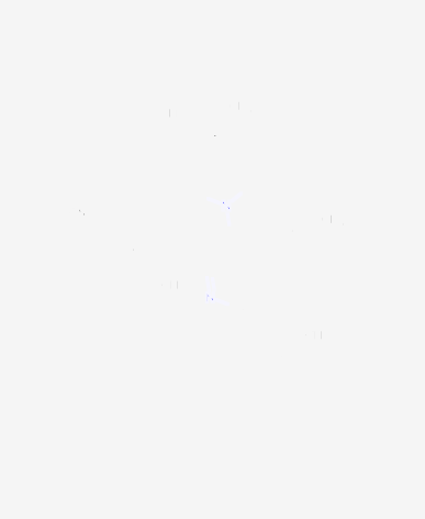 Cc1ccc(-c2cc3c4c(n2)C(C)(C)c2cc(-c5ccccc5C#N)cc5c2N4c2c(cc(-c4ccccc4)cc2C3(C)C)C5(C)C)c(C)c1